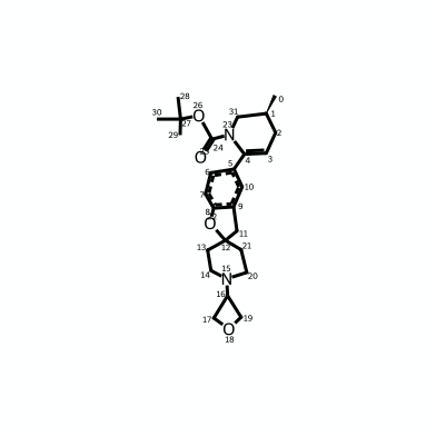 C[C@H]1CC=C(c2ccc3c(c2)CC2(CCN(C4COC4)CC2)O3)N(C(=O)OC(C)(C)C)C1